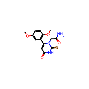 COc1ccc(OC)c(-c2cc(=O)[nH]c(=S)n2CC(N)=O)c1